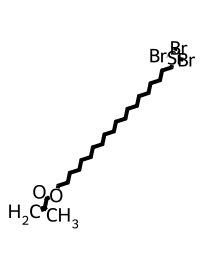 C=C(C)C(=O)OCCCCCCCCCCCCCCCCCCCC[Si](Br)(Br)Br